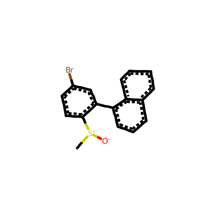 C[S+]([O-])c1ccc(Br)cc1-c1cccc2ccccc12